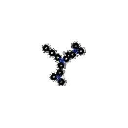 CC1(C)c2cc(N(c3ccc(-c4ccc(-c5ccccc5)cc4)cc3)c3ccc(-c4ccc5c(c4)c4ccccc4n5-c4ccccc4)cc3)ccc2-c2ccc(-n3c4ccccc4c4ccccc43)cc21